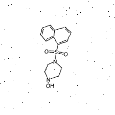 O=S(=O)(c1cccc2ccccc12)N1CCN(O)CC1